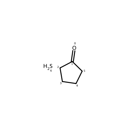 O=C1CCCC1.S